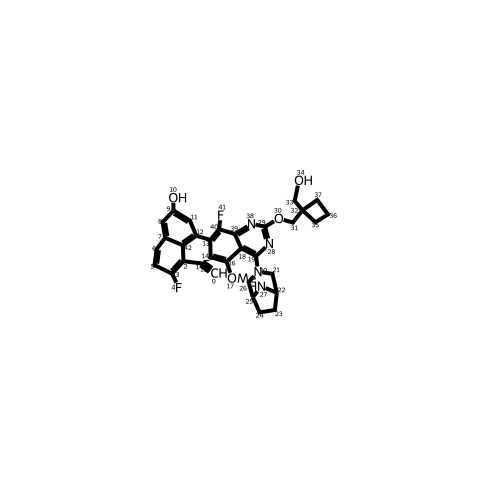 C#Cc1c(F)ccc2cc(O)cc(-c3c(F)c(OC)c4c(N5CC6CCC(C5)N6)nc(OCC5(CO)CCC5)nc4c3F)c12